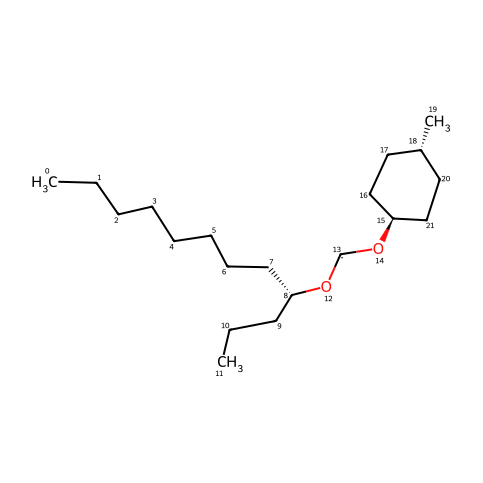 CCCCCCCC[C@@H](CCC)O[C]O[C@H]1CC[C@H](C)CC1